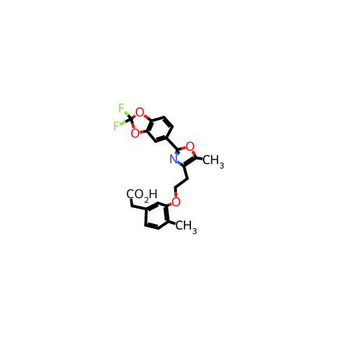 Cc1ccc(CC(=O)O)cc1OCCc1nc(-c2ccc3c(c2)OC(F)(F)O3)oc1C